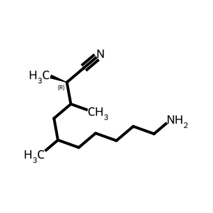 CC(CCCCCN)CC(C)[C@@H](C)C#N